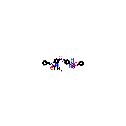 C[C@@H]1Nc2cc(C(=O)NCc3ccc(C(=N)NC(=O)OCc4ccccc4)cc3)ccc2CN(CCc2ccccc2)C1=O